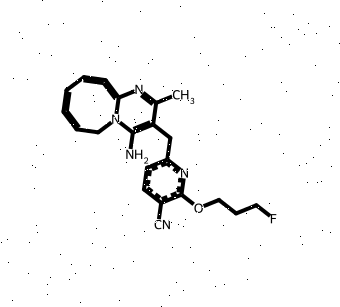 CC1=NC2=C=CC=C=CCN2C(N)=C1Cc1ccc(C#N)c(OCCCF)n1